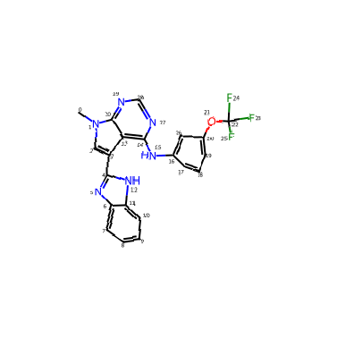 Cn1cc(-c2nc3ccccc3[nH]2)c2c(Nc3cccc(OC(F)(F)F)c3)ncnc21